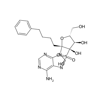 Nc1ncnc2c1ncn2[C@]1(CCCCc2ccccc2)O[C@H](CO)[C@@H](O)[C@]1(O)S(=O)(=O)O